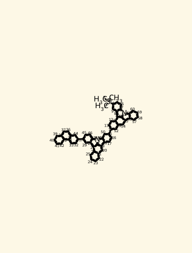 C[Si](C)(C)c1ccc2c(c1)c1c3ccc(-c4ccc5c6cc7ccccc7c7c8cc(-c9ccc%10c(ccc%11ccccc%11%10)c9)ccc8n(c5c4)c67)cc3cc3c4ccccc4n2c31